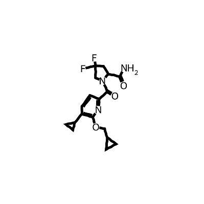 NC(=O)C1CC(F)(F)CN1C(=O)c1ccc(C2CC2)c(OCC2CC2)n1